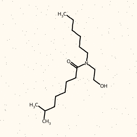 CCCCCCN(CCO)C(=O)CCCCCC(C)C